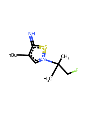 CCCCc1cn(C(C)(C)CF)sc1=N